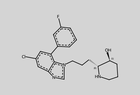 O[C@H]1CCCN[C@@H]1CCCn1cnc2cc(Cl)cc(-c3cccc(F)c3)c21